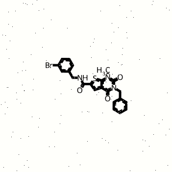 Cn1c(=O)n(Cc2ccccc2)c(=O)c2cc(C(=O)NCc3cccc(Br)c3)sc21